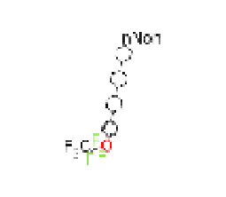 CCCCCCCCCC1CCC(C2CCC(C3CCC(c4ccc(OC(F)(F)C(F)C(F)(F)F)cc4)CC3)CC2)CC1